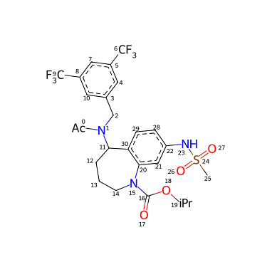 CC(=O)N(Cc1cc(C(F)(F)F)cc(C(F)(F)F)c1)C1CCCN(C(=O)OC(C)C)c2cc(NS(C)(=O)=O)ccc21